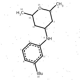 CC1CC(Nc2cccc(C(C)(C)C)c2)CC(C)O1